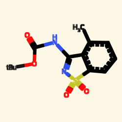 Cc1cccc2c1C(NC(=O)OC(C)(C)C)=NS2(=O)=O